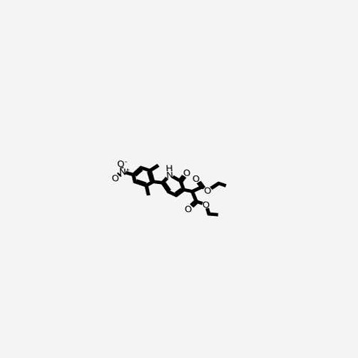 CCOC(=O)C(C(=O)OCC)c1ccc(-c2c(C)cc([N+](=O)[O-])cc2C)[nH]c1=O